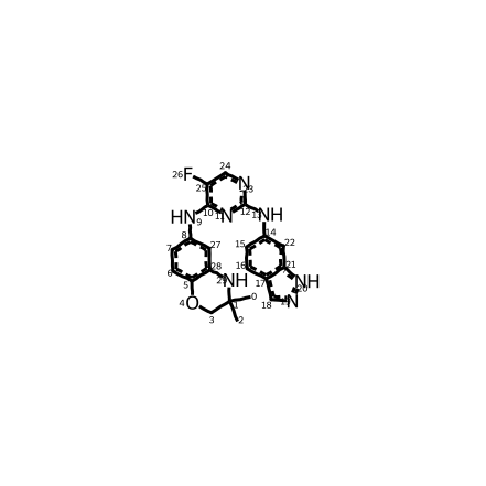 CC1(C)COc2ccc(Nc3nc(Nc4ccc5cn[nH]c5c4)ncc3F)cc2N1